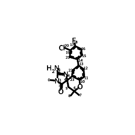 CN1C(=O)C2(CC(C)(C)Oc3ccc(-c4ccc(F)c(Cl)c4)cc32)N=C1N